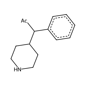 CC(=O)C(c1ccccc1)C1CCNCC1